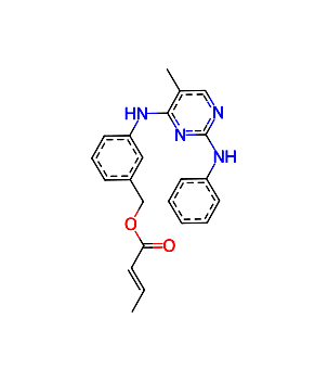 CC=CC(=O)OCc1cccc(Nc2nc(Nc3ccccc3)ncc2C)c1